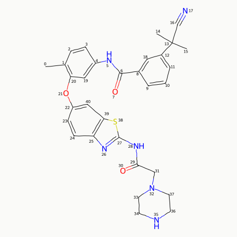 Cc1ccc(NC(=O)c2cccc(C(C)(C)C#N)c2)cc1Oc1ccc2nc(NC(=O)CN3CCNCC3)sc2c1